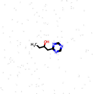 CCC(O)Cc1ncncn1